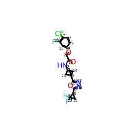 O=C(COc1ccc(Cl)c(F)c1)NC12CC(c3nnc(C4CC4(F)F)o3)(C1)C2